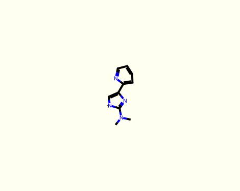 CN(C)C1=NC(c2ccccn2)=C[N]1